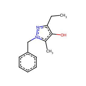 CCc1nn(Cc2ccccc2)c(C)c1O